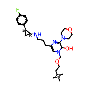 C[Si](C)(C)CCOCN1C=C(CCCN[C@@H]2C[C@H]2c2ccc(F)cc2)N=C(N2CCOCC2)C1O